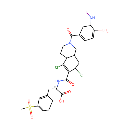 BC1=CC=C(C(=O)N2CCC3C(Cl)=C(C(=O)N[C@@H](CC4=CC(S(C)(=O)=O)=CCC4)C(=O)O)C(Cl)CC3C2)CC1NI